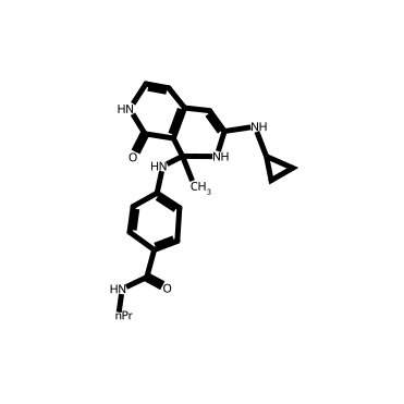 CCCNC(=O)c1ccc(NC2(C)NC(NC3CC3)=Cc3cc[nH]c(=O)c32)cc1